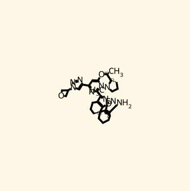 C[C@H](Oc1cc(-c2cn(C3COC3)nn2)nc(-c2noc3c2CCC[C@@]32CCCc3sc(N)c(C#N)c32)n1)[C@@H]1CCCN1C